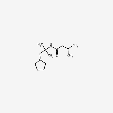 CC(C)CC(=O)NC(C)(C)CN1CCCC1